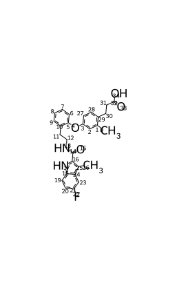 Cc1cc(Oc2ccccc2CCNC(=O)c2[nH]c3ccc(F)cc3c2C)ccc1CCC(=O)O